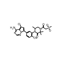 CC1CN(C(=O)CS(C)(=O)=O)C(C)(C)C(=O)N1c1cc(-c2cc(Cl)c3c(N)ncnn23)ccc1C#N